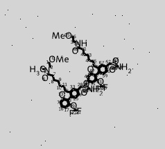 COCCN(C)C(=O)CCCCCC1Oc2cccc(OC(F)F)c2-c2ccc(CS(N)(=O)=O)cc21.COCCNC(=O)CCCCCC1Oc2cccc(OC(F)F)c2-c2ccc(CS(N)(=O)=O)cc21